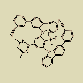 Cc1nc(C)nc(-c2cc(-n3c4ccccc4c4ccc(-c5cccc(C#N)c5)cc43)c(C(F)(F)F)c(-n3c4ccccc4c4ccc(-c5cccc(C#N)c5)cc43)c2)n1